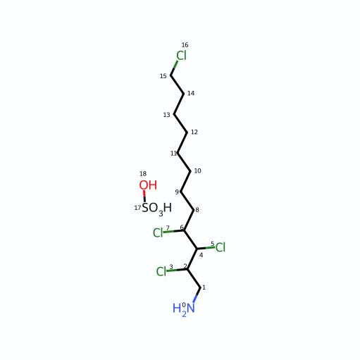 NCC(Cl)C(Cl)C(Cl)CCCCCCCCCl.O=S(=O)(O)O